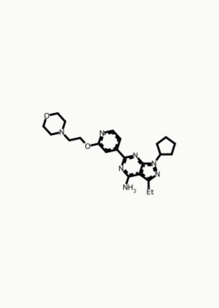 CCc1nn(C2CCCC2)c2nc(-c3ccnc(OCCN4CCOCC4)c3)nc(N)c12